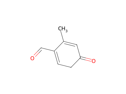 CC1=CC(=O)CC=C1C=O